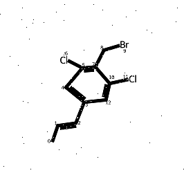 C/C=C/c1cc(Cl)c(CBr)c(Cl)c1